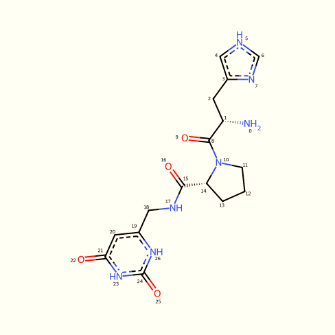 N[C@@H](Cc1c[nH]cn1)C(=O)N1CCC[C@@H]1C(=O)NCc1cc(=O)[nH]c(=O)[nH]1